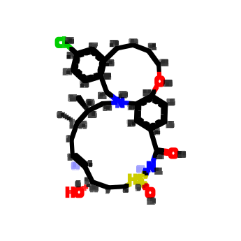 C[C@H]1C/C=C/[C@@H](O)CC/[SH](=O)=N\C(=O)c2ccc3c(c2)N(Cc2ccc(Cl)cc2CCCCO3)C[C@@H]1C